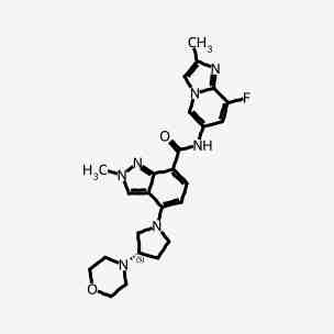 Cc1cn2cc(NC(=O)c3ccc(N4CC[C@H](N5CCOCC5)C4)c4cn(C)nc34)cc(F)c2n1